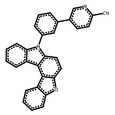 N#Cc1ccc(-c2cccc(-n3c4ccccc4c4c5c(ccc43)oc3ccccc35)c2)cn1